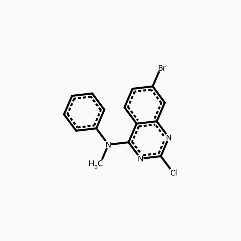 CN(c1ccccc1)c1nc(Cl)nc2cc(Br)ccc12